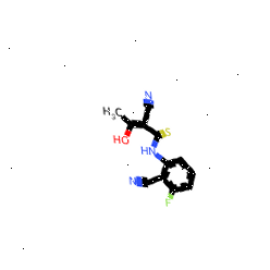 CC(O)=C(C#N)C(=S)Nc1cccc(F)c1C#N